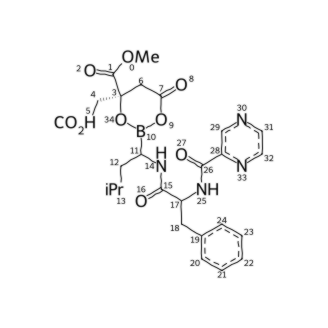 COC(=O)[C@@]1(CC(=O)O)CC(=O)OB(C(CC(C)C)NC(=O)C(Cc2ccccc2)NC(=O)c2cnccn2)O1